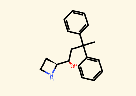 CC(C[C@@H](O)[C@@H]1CCN1)(c1ccccc1)c1ccccc1